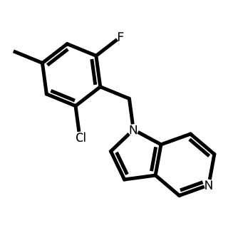 Cc1cc(F)c(Cn2ccc3cnccc32)c(Cl)c1